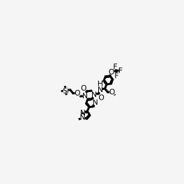 COCC(NC(=O)N1CC(=O)N(COCC[Si](C)(C)C)c2cc(-c3ccn(C)n3)cnc21)c1ccc(OC(F)(F)F)cc1